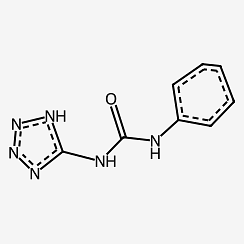 O=C(Nc1ccccc1)Nc1nnn[nH]1